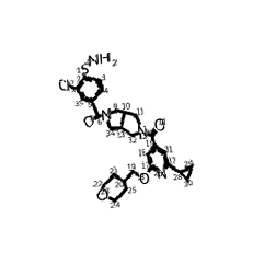 NSc1ccc(C(=O)N2CC3CN(C(=O)c4cc(OCC5CCOCC5)nc(C5CC5)c4)CC3C2)cc1Cl